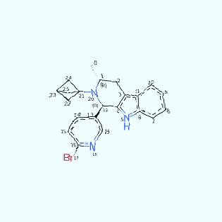 C[C@@H]1Cc2c([nH]c3ccccc23)[C@@H](c2ccc(Br)nc2)N1C12CC(C1)C2